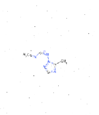 C=N/C=N\n1ncnc1C